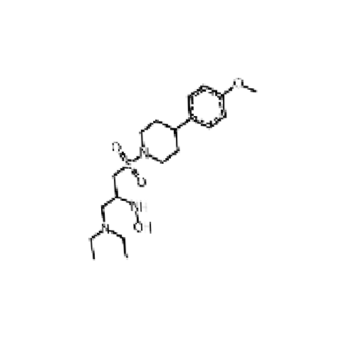 CCN(CC)CC(CS(=O)(=O)N1CCC(c2ccc(OC)cc2)CC1)NO